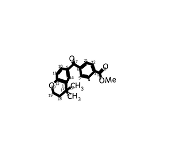 COC(=O)c1ccc(C(=O)c2ccc3c(c2)C(C)(C)CCO3)cc1